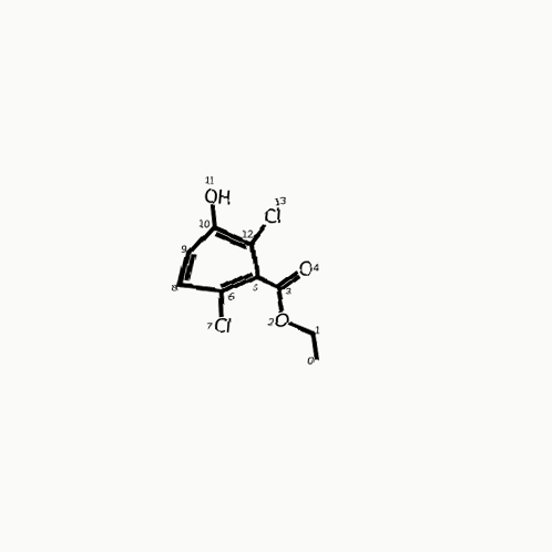 CCOC(=O)c1c(Cl)ccc(O)c1Cl